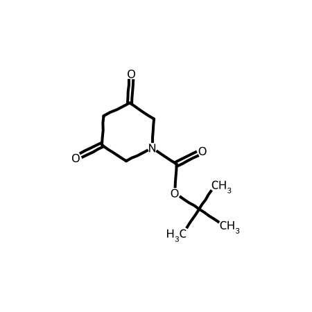 CC(C)(C)OC(=O)N1CC(=O)CC(=O)C1